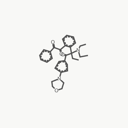 CCN(CC)C(CC)(C(=O)c1ccc(N2CCOCC2)cc1)c1ccccc1C(=O)C(=O)c1ccccc1